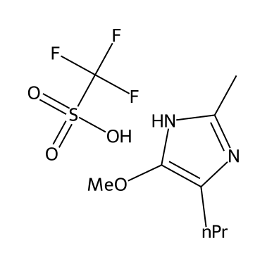 CCCc1nc(C)[nH]c1OC.O=S(=O)(O)C(F)(F)F